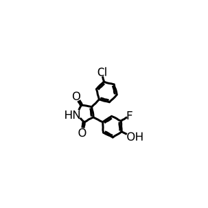 O=C1NC(=O)C(c2ccc(O)c(F)c2)=C1c1cccc(Cl)c1